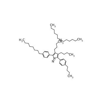 CCCCCCCCc1ccc(C2=C(CCCC)C(CCCC)=C(c3ccc(CCCC)cc3)[N+]2=[N-])cc1.CCCCC[CH2][Ni][CH2]CCCCC